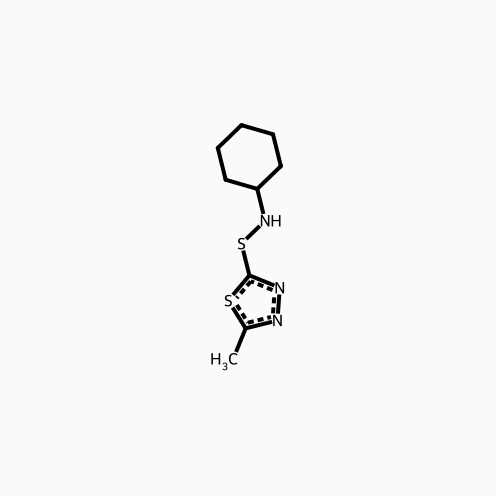 Cc1nnc(SNC2CCCCC2)s1